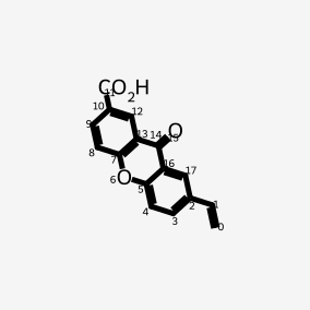 C=Cc1ccc2oc3ccc(C(=O)O)cc3c(=O)c2c1